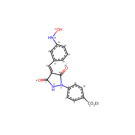 CCOC(=O)c1ccc(N2NC(=O)/C(=C/c3cccc(NO)c3)C2=O)cc1